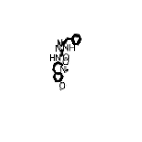 COc1ccc2c(c1)N(C)C(=O)[C@@H](NC(=O)c1nnc(Cc3ccccc3)[nH]1)CC2